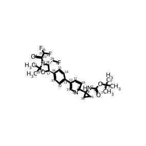 CC(C)(C)OC(=O)NC1(c2ccc(-c3ccc([C@H]4OC(C)(C)N(C(=O)C(F)F)[C@@H]4CF)cc3)cn2)CC1